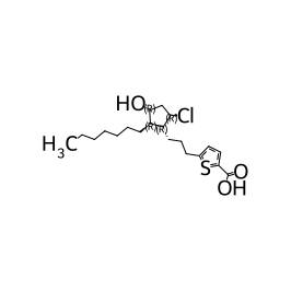 CCCCCCC[C@@H]1[C@@H](CCCc2ccc(C(=O)O)s2)[C@H](Cl)C[C@H]1O